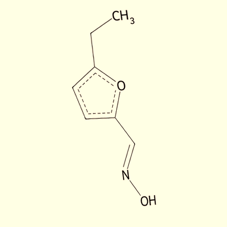 CCc1ccc(C=NO)o1